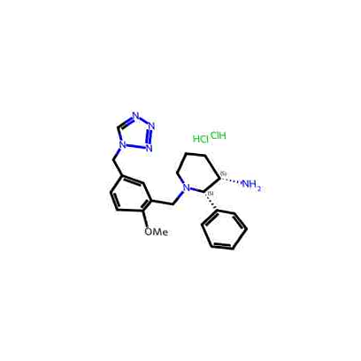 COc1ccc(Cn2cnnn2)cc1CN1CCC[C@H](N)[C@@H]1c1ccccc1.Cl.Cl